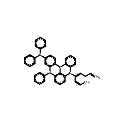 C=CC/C=C(\C=C/C)N1c2ccccc2B2c3ccc(N(c4ccccc4)c4ccccc4)cc3N(c3ccccc3)c3cccc1c32